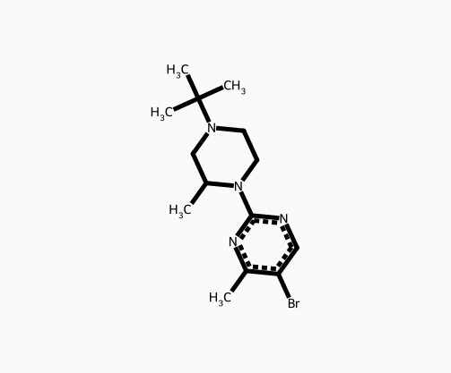 Cc1nc(N2CCN(C(C)(C)C)CC2C)ncc1Br